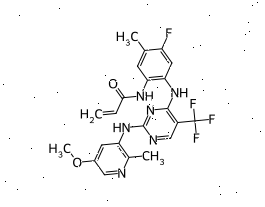 C=CC(=O)Nc1cc(C)c(F)cc1Nc1nc(Nc2cc(OC)cnc2C)ncc1C(F)(F)F